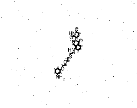 Nc1cccc(OCCOCCOCCNc2cccc3c(=O)n(C4CCC(=O)NC4=O)ncc23)c1